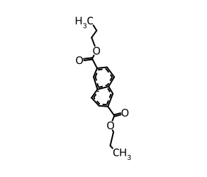 CCCOC(=O)c1ccc2cc(C(=O)OCCC)ccc2c1